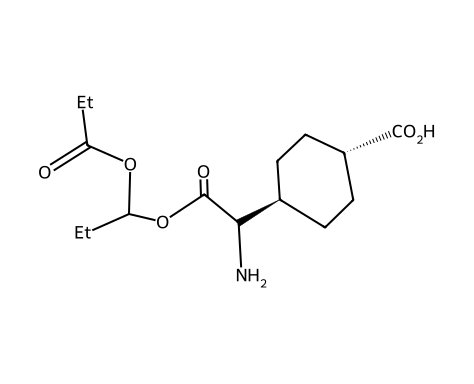 CCC(=O)OC(CC)OC(=O)C(N)[C@H]1CC[C@H](C(=O)O)CC1